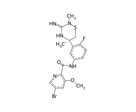 COc1cc(Br)cnc1C(=O)Nc1ccc(F)c([C@]2(C)CSN(C)C(=N)N2)c1